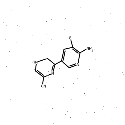 N#CC1=CNCC(c2cnc(N)c(F)c2)=N1